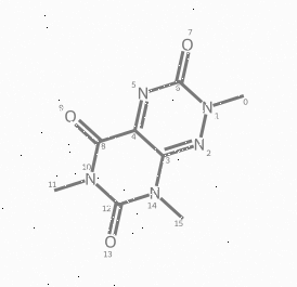 Cn1nc2c(nc1=O)c(=O)n(C)c(=O)n2C